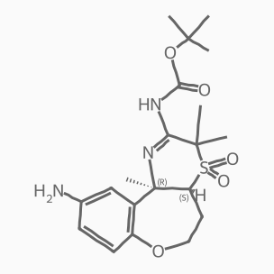 CC(C)(C)OC(=O)NC1=N[C@]2(C)c3cc(N)ccc3OCC[C@@H]2S(=O)(=O)C1(C)C